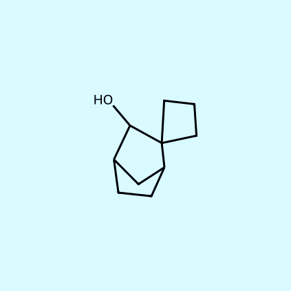 OC1C2CCC(C2)C12CCC2